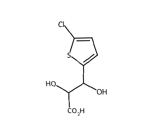 O=C(O)C(O)C(O)c1ccc(Cl)s1